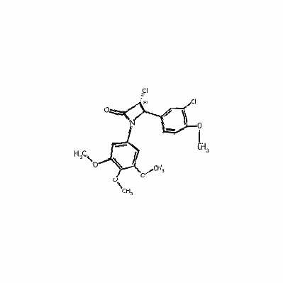 COc1ccc(C2[C@@H](Cl)C(=O)N2c2cc(OC)c(OC)c(OC)c2)cc1Cl